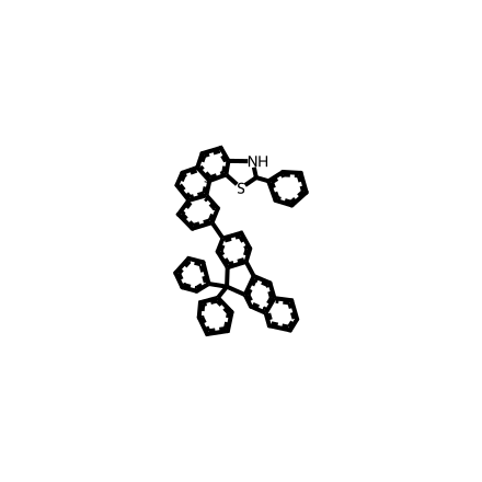 c1ccc(C2Nc3ccc4ccc5ccc(-c6ccc7c(c6)C(c6ccccc6)(c6ccccc6)c6cc8ccccc8cc6-7)cc5c4c3S2)cc1